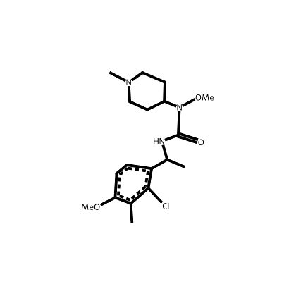 COc1ccc(C(C)NC(=O)N(OC)C2CCN(C)CC2)c(Cl)c1C